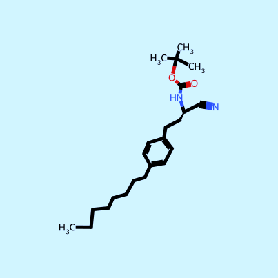 CCCCCCCCc1ccc(CC[C@H](C#N)NC(=O)OC(C)(C)C)cc1